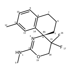 CNC1=N[C@@]2(CCCc3ccc(C)cc32)C(F)(F)CO1